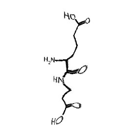 NC(CCC(=O)O)C(=O)NCCC(=O)O